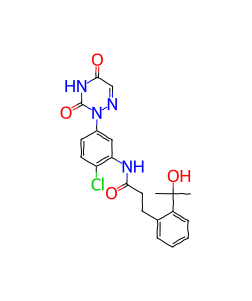 CC(C)(O)c1ccccc1CCC(=O)Nc1cc(-n2ncc(=O)[nH]c2=O)ccc1Cl